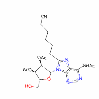 CC(=O)Nc1ncnc2c1nc(CCCCCC#N)n2[C@@H]1O[C@H](CO)[C@@H](OC(C)=O)[C@H]1OC(C)=O